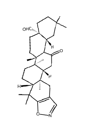 CC1(C)CC[C@]2(C=O)CC[C@]3(C)C(C(=O)C[C@@H]4[C@@]5(C)Cc6cnoc6C(C)(C)[C@@H]5CC[C@]43C)[C@H]2C1